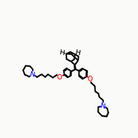 c1cc(C(=C2C3C[C@H]4CC2C[C@@H](C3)C4)c2ccc(OCCCCCCN3CCCCCC3)cc2)ccc1OCCCCCCN1CCCCCC1